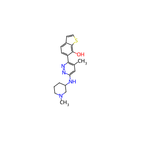 Cc1cc(NC2CCCN(C)C2)nnc1-c1ccc2ccsc2c1O